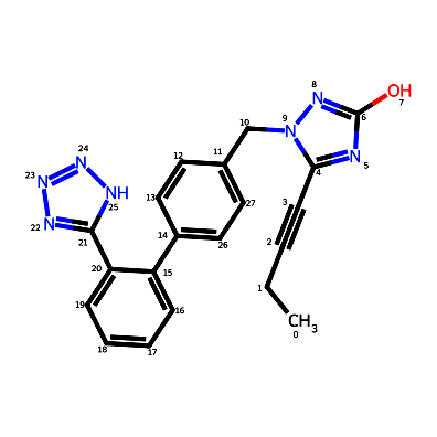 CCC#Cc1nc(O)nn1Cc1ccc(-c2ccccc2-c2nnn[nH]2)cc1